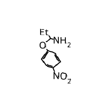 CCC(N)Oc1ccc([N+](=O)[O-])cc1